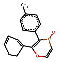 Cc1ccc(C2=C(C3=CC=CCC3)OC=C[S+]2[O-])cc1